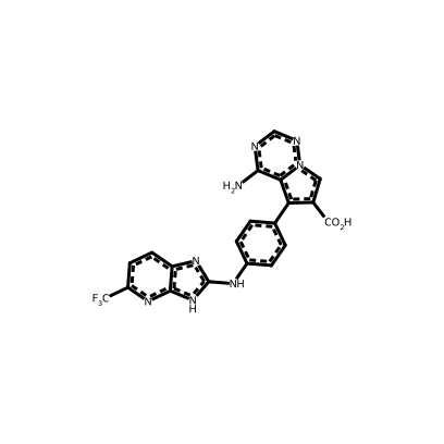 Nc1ncnn2cc(C(=O)O)c(-c3ccc(Nc4nc5ccc(C(F)(F)F)nc5[nH]4)cc3)c12